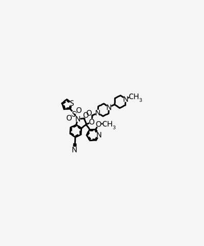 COc1ncccc1C1(OC(=O)N2CCN(C3CCN(C)CC3)CC2)C(=O)N(S(=O)(=O)c2cccs2)c2ccc(C#N)cc21